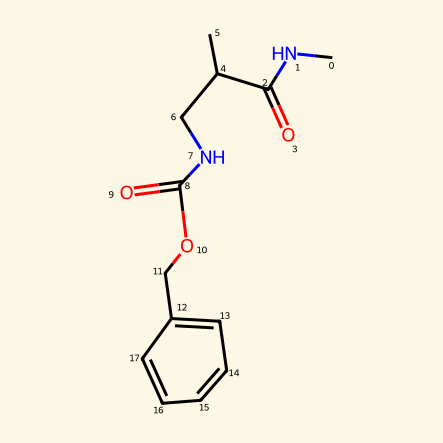 CNC(=O)C(C)CNC(=O)OCc1ccccc1